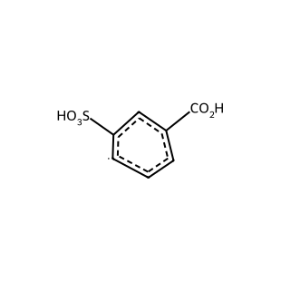 O=C(O)c1cc[c]c(S(=O)(=O)O)c1